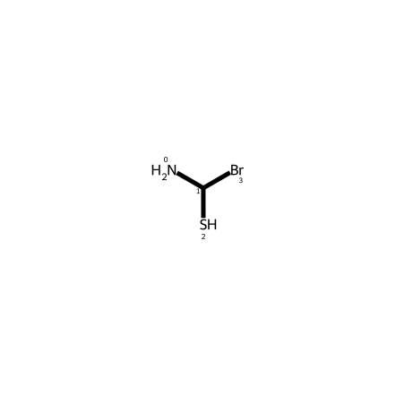 NC(S)Br